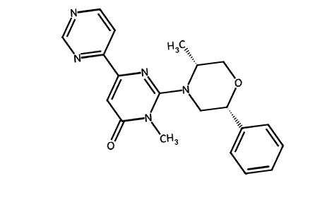 C[C@@H]1CO[C@H](c2ccccc2)CN1c1nc(-c2ccncn2)cc(=O)n1C